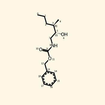 CCC[C@@H](C)[C@H](O)CNC(=O)OCc1ccccc1